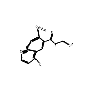 COc1cc2nccc(Cl)c2cc1C(=O)NCC#N